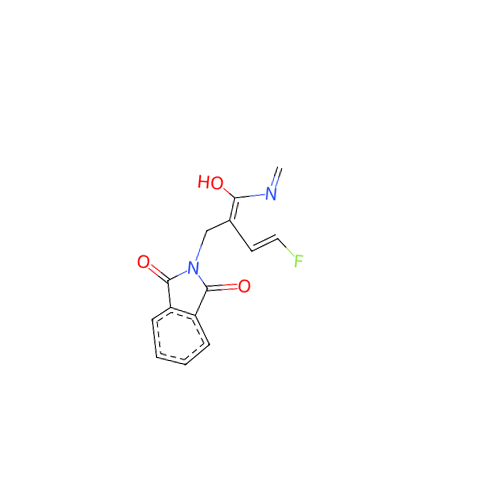 C=N/C(O)=C(\C=C\F)CN1C(=O)c2ccccc2C1=O